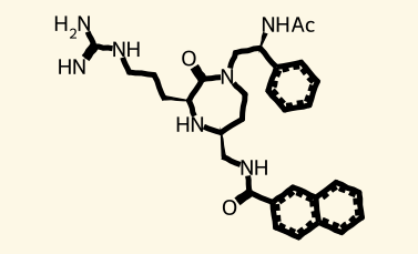 CC(=O)N[C@H](CN1CC[C@@H](CNC(=O)c2ccc3ccccc3c2)N[C@@H](CCCNC(=N)N)C1=O)c1ccccc1